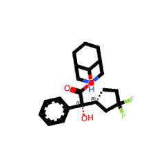 O=C(OC1C2CCCC1CNC2)[C@](O)(c1ccccc1)[C@@H]1CCC(F)(F)C1